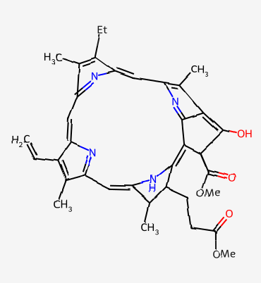 C=CC1=C(C)C2=NC1=CC1=NC(=CC3=C(C)C4=C(O)C(C(=O)OC)C(=C5NC(=C2)C(C)C5CCC(=O)OC)C4=N3)C(CC)=C1C